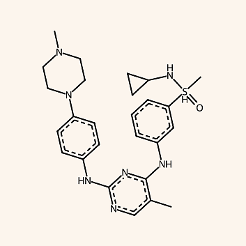 Cc1cnc(Nc2ccc(N3CCN(C)CC3)cc2)nc1Nc1cccc([SH](C)(=O)NC2CC2)c1